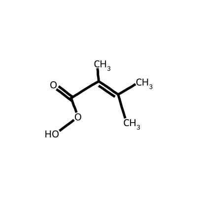 CC(C)=C(C)C(=O)OO